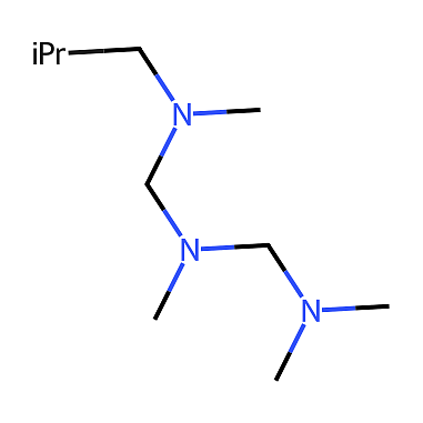 CC(C)CN(C)CN(C)CN(C)C